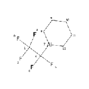 FC(F)(F)[C](F)(F)[Al]1[CH2]CCC[CH2]1